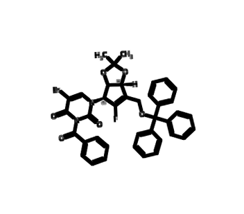 CC1(C)OC2[C@H](O1)C(COC(c1ccccc1)(c1ccccc1)c1ccccc1)=C(F)[C@H]2n1cc(Br)c(=O)n(C(=O)c2ccccc2)c1=O